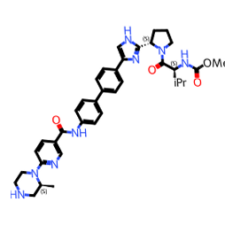 COC(=O)N[C@H](C(=O)N1CCC[C@H]1c1nc(-c2ccc(-c3ccc(NC(=O)c4ccc(N5CCNC[C@@H]5C)nc4)cc3)cc2)c[nH]1)C(C)C